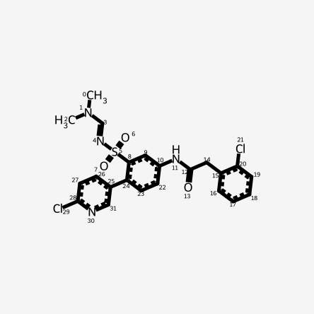 CN(C)/C=N/S(=O)(=O)c1cc(NC(=O)Cc2ccccc2Cl)ccc1-c1ccc(Cl)nc1